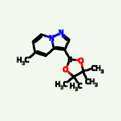 Cc1ccn2ncc(B3OC(C)(C)C(C)(C)O3)c2c1